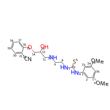 COc1cc(NC(=S)NCCNCC(O)COc2ccccc2C#N)cc(OC)c1